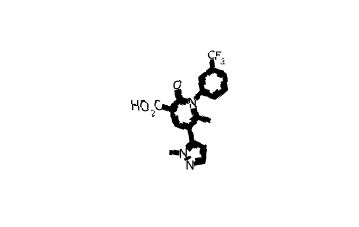 Cc1c(-c2ccnn2C)cc(C(=O)O)c(=O)n1-c1cccc(C(F)(F)F)c1